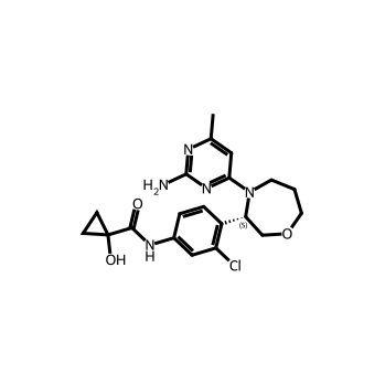 Cc1cc(N2CCCOC[C@@H]2c2ccc(NC(=O)C3(O)CC3)cc2Cl)nc(N)n1